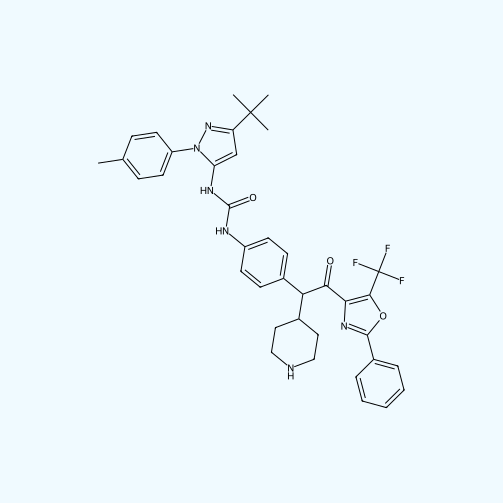 Cc1ccc(-n2nc(C(C)(C)C)cc2NC(=O)Nc2ccc(C(C(=O)c3nc(-c4ccccc4)oc3C(F)(F)F)C3CCNCC3)cc2)cc1